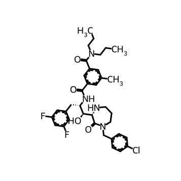 CCCN(CCC)C(=O)c1cc(C)cc(C(=O)N[C@@H](Cc2cc(F)cc(F)c2)[C@H](O)[C@@H]2NCCCN(Cc3ccc(Cl)cc3)C2=O)c1